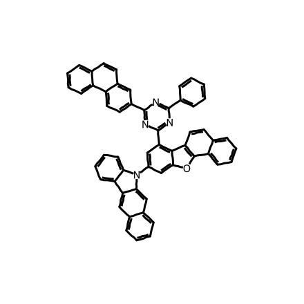 c1ccc(-c2nc(-c3ccc4c(ccc5ccccc54)c3)nc(-c3cc(-n4c5ccccc5c5cc6ccccc6cc54)cc4oc5c6ccccc6ccc5c34)n2)cc1